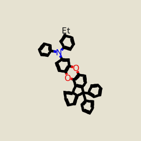 CCc1cccc(N(c2ccccc2)c2ccc3c(c2)Oc2ccc4c(c2O3)-c2ccccc2C4(c2ccccc2)c2ccccc2)c1